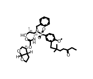 CCC(=O)CCC(C)(C)Cc1cc(S(=O)(=O)N(Cc2ccccc2)[C@H](NC(=O)O[C@H]2CO[C@H]3OCC[C@H]32)[C@@H](C)O)ccc1OC